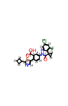 O=C(O)c1cc(NC(=O)C2(c3ccc(Cl)cc3F)CC2)ccc1-c1cnc(C2CCC2)s1